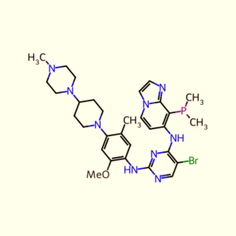 COc1cc(N2CCC(N3CCN(C)CC3)CC2)c(C)cc1Nc1ncc(Br)c(Nc2ccn3ccnc3c2P(C)C)n1